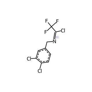 FC(F)(F)/C(Cl)=N\Cc1ccc(Cl)c(Cl)c1